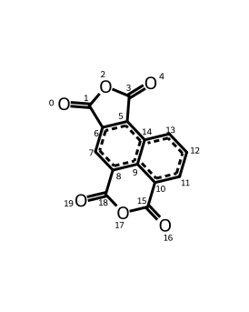 O=C1OC(=O)c2c1cc1c3c(cccc23)C(=O)OC1=O